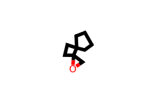 C1CCC2(C1)CCC21CO1